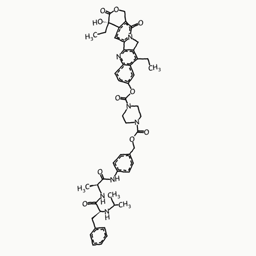 CCc1c2c(nc3ccc(OC(=O)N4CCN(C(=O)OCc5ccc(NC(=O)[C@H](C)NC(=O)[C@H](Cc6ccccc6)NC(C)C)cc5)CC4)cc13)-c1cc3c(c(=O)n1C2)COC(=O)[C@]3(O)CC